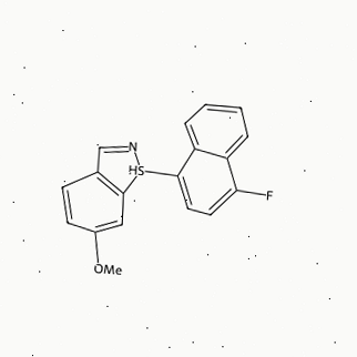 COc1ccc2c(c1)[SH](c1ccc(F)c3ccccc13)N=C2